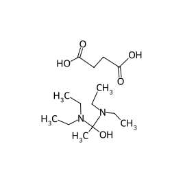 CCN(CC)C(C)(O)N(CC)CC.O=C(O)CCC(=O)O